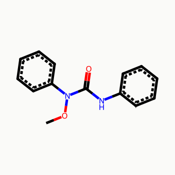 CON(C(=O)Nc1[c]cccc1)c1ccccc1